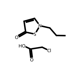 CCCn1ccc(=O)s1.O=C(O)CCl